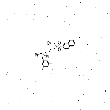 CC[N+](CBr)(CCCCN(CC1CC1)S(=O)(=O)c1ccc2ccccc2c1)Cc1cc(C)cc(C)c1